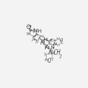 CC1COCCN1c1nc(N2CCOCC2C)c2ccc(-c3ccc4c(c3)NC(=O)C4)nc2n1